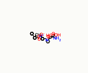 Cc1c(COc2ccc(CN3CCCCC3C(=O)C[C@@H](O)[C@H](N)C(=O)O)cc2[N+](=O)[O-])cccc1-c1ccccc1